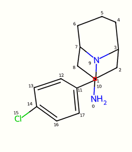 NC1CC2CCCC(C1)N2Cc1ccc(Cl)cc1